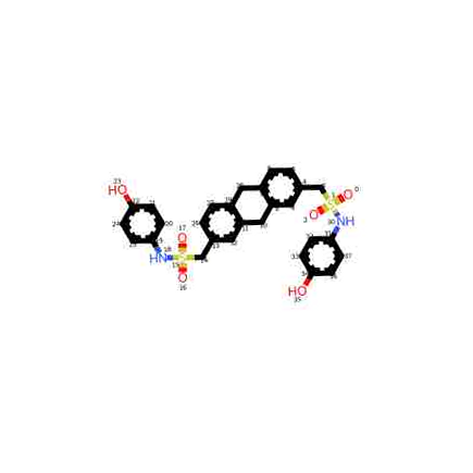 O=S(=O)(Cc1ccc2c(c1)Cc1cc(CS(=O)(=O)Nc3ccc(O)cc3)ccc1C2)Nc1ccc(O)cc1